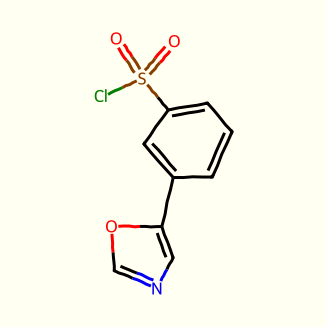 O=S(=O)(Cl)c1cccc(-c2cnco2)c1